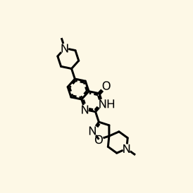 CN1CCC(c2ccc3nc(C4=NOC5(CCN(C)CC5)C4)[nH]c(=O)c3c2)CC1